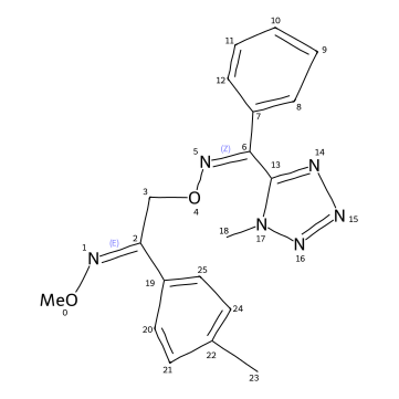 CO/N=C(/CO/N=C(/c1ccccc1)c1nnnn1C)c1ccc(C)cc1